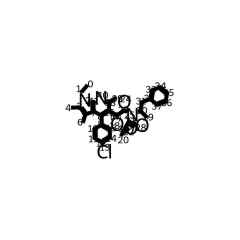 CCn1c(C)c(C)c2c(-c3ccc(Cl)cc3)c([C@@H](OC(C)(C)C)C(=O)N3C(=O)OCC3Cc3ccccc3)c(C)nc21